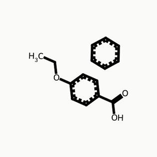 CCOc1ccc(C(=O)O)cc1.c1ccccc1